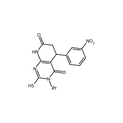 CC(C)n1c(S)nc2c(c1=O)C(c1cccc([N+](=O)[O-])c1)CC(=O)N2